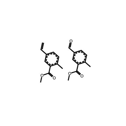 C=Cc1ccc(C)c(C(=O)OC)c1.COC(=O)c1cc(C=O)ccc1C